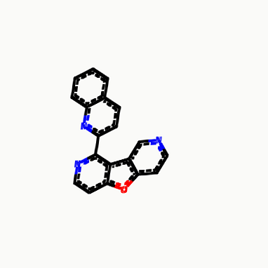 c1ccc2nc(-c3nccc4oc5ccncc5c34)ccc2c1